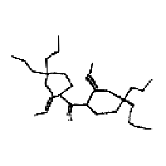 CC=C1CC(CCC)(CCC)CCC1C(=O)C1CCC(CCC)(CCC)CC1=CC